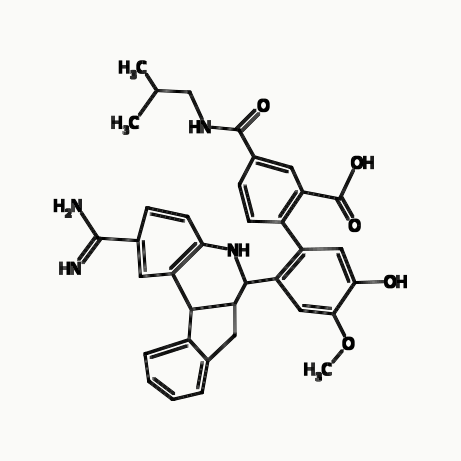 COc1cc(C2Nc3ccc(C(=N)N)cc3C3c4ccccc4CC23)c(-c2ccc(C(=O)NCC(C)C)cc2C(=O)O)cc1O